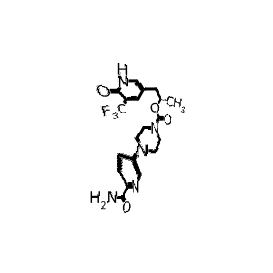 C[C@@H](Cc1c[nH]c(=O)c(C(F)(F)F)c1)OC(=O)N1CCN(c2ccc(C(N)=O)nc2)CC1